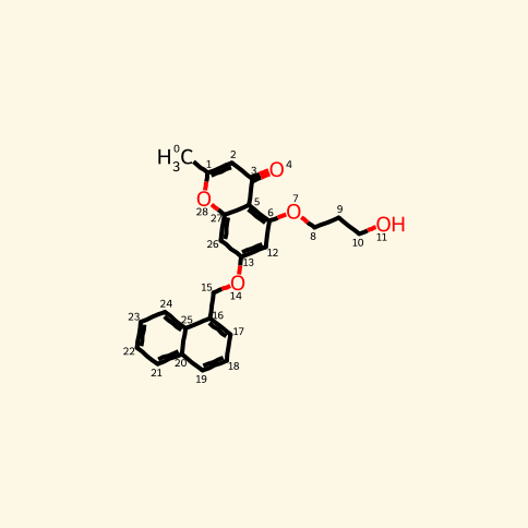 Cc1cc(=O)c2c(OCCCO)cc(OCc3cccc4ccccc34)cc2o1